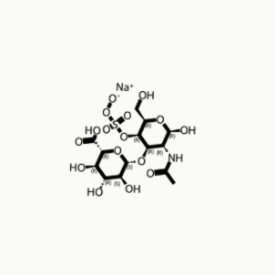 CC(=O)N[C@@H]1[C@@H](O[C@H]2O[C@@H](C(=O)O)[C@H](O)[C@@H](O)[C@@H]2O)[C@@H](OS(=O)(=O)O[O-])[C@@H](CO)O[C@H]1O.[Na+]